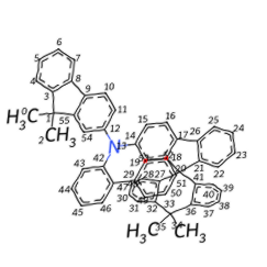 CC1(C)c2ccccc2-c2ccc(N(c3ccc4c(c3)C3(c5ccccc5-4)c4ccccc4C(C)(C)c4ccccc43)c3ccccc3-c3ccccc3)cc21